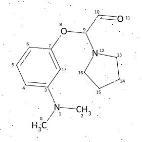 CN(C)c1cccc(OC(C=O)N2CCCC2)c1